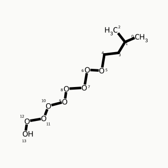 CC(C)CCOOOOOOOOO